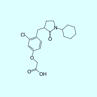 O=C(O)COc1ccc(CC2CCN(C3CCCCC3)C2=O)c(Cl)c1